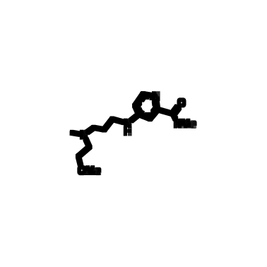 CNC(=O)c1cc(NCCCN(C)CCOC)ccn1